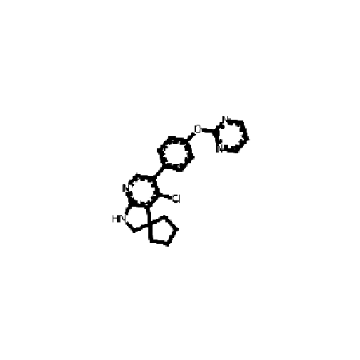 Clc1c(-c2ccc(Oc3ncccn3)cc2)cnc2c1C1(CCCC1)CN2